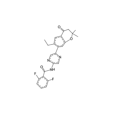 CCc1cc2c(cc1-c1cnc(NC(=O)c3c(F)cccc3F)cn1)OC(C)(C)CC2=O